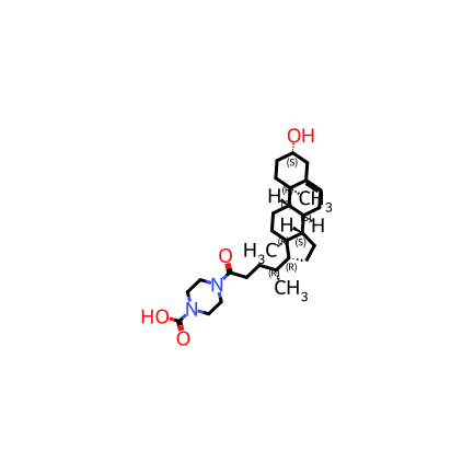 C[C@H](CCC(=O)N1CCN(C(=O)O)CC1)[C@H]1CC[C@H]2[C@@H]3CC=C4C[C@@H](O)CC[C@]4(C)[C@H]3CC[C@]12C